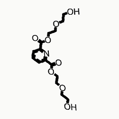 O=C(OCCOCCO)c1cccc(C(=O)OCCOCCO)n1